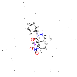 CC1=CC=CC(I)([N+](=O)[O-])C1C(=O)Nc1ccccc1